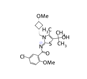 COc1ccc(Cl)cc1C(=O)/N=c1\sc(C(C)(C)O)c(C)n1C[C@H]1C[C@@H](OC)C1